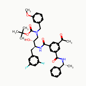 COc1cccc(CN(C[C@@H](O)[C@H](Cc2cc(F)cc(F)c2)NC(=O)c2cc(C(C)=O)cc(C(=O)N[C@H](C)c3ccccc3)c2)C(=O)OC(C)(C)C)c1